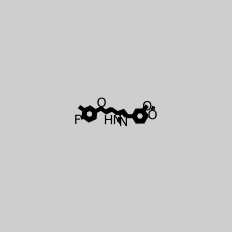 Cc1cc(C(=O)/C=C/c2cc(-c3ccc4c(c3)OCO4)n[nH]2)ccc1F